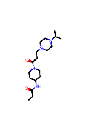 CCC(=O)NC1CCN(C(=O)CCN2CCN(C(C)C)CC2)CC1